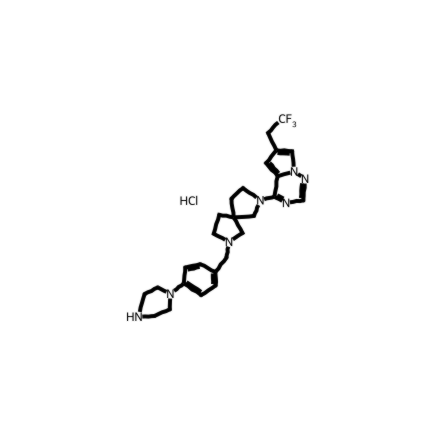 Cl.FC(F)(F)Cc1cc2c(N3CCC4(CCN(Cc5ccc(N6CCNCC6)cc5)C4)C3)ncnn2c1